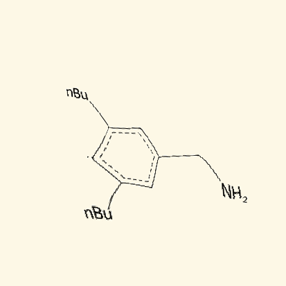 CCCCc1[c]c(CCCC)cc(CN)c1